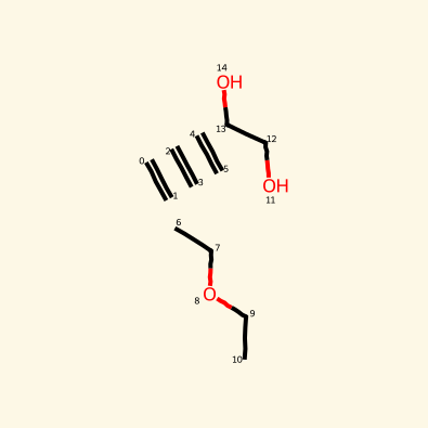 C=C.C=C.C=C.CCOCC.OCCO